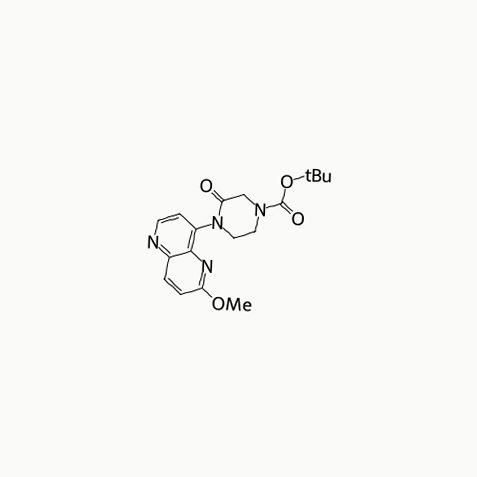 COc1ccc2nccc(N3CCN(C(=O)OC(C)(C)C)CC3=O)c2n1